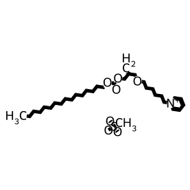 C=C(COCCCCCC[n+]1ccccc1)COC(=O)OCCCCCCCCCCCCCCCC.CS(=O)(=O)[O-]